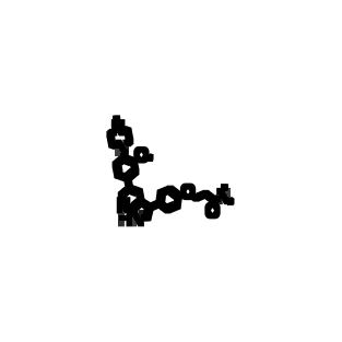 COc1cc(-c2cnc3[nH]cc(-c4ccc(OCCC(=O)N(C)C)cc4)c3c2)ccc1N1CCN(C)CC1